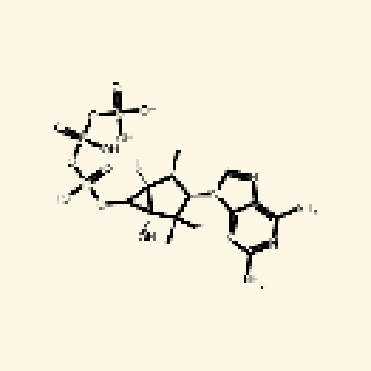 C[C@H]1[C@@H](n2cnc3c(N)nc(N)nc32)[C@](C)(F)[C@@]2(O)C(OP(=O)(O)OP(=O)(O)OP(=O)(O)O)[C@@H]12